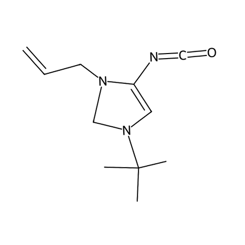 C=CCN1CN(C(C)(C)C)C=C1N=C=O